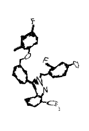 Cc1cc(F)ccc1OCc1cccc(-c2c3cccc(C(F)(F)F)c3nn2Cc2ccc(Cl)cc2F)c1